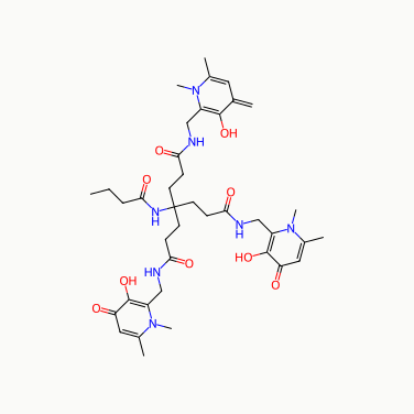 C=C1C=C(C)N(C)C(CNC(=O)CCC(CCC(=O)NCc2c(O)c(=O)cc(C)n2C)(CCC(=O)NCc2c(O)c(=O)cc(C)n2C)NC(=O)CCC)=C1O